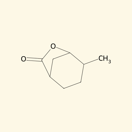 CC1CCC2CC1OC2=O